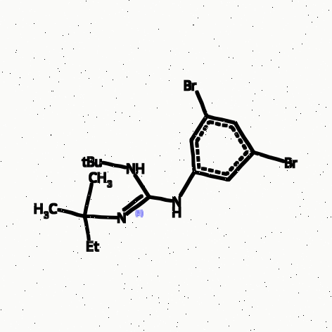 CCC(C)(C)/N=C(/Nc1cc(Br)cc(Br)c1)NC(C)(C)C